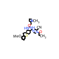 C=CC(=O)N1CCN(C2NC(OCC3CCCN3C)NC3C[C@@]4(CCc5c(OC)cccc5S4)CCC32)CC1CC#N